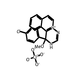 COC1(c2ccc(Cl)cc2)NC=N[n+]2ccc3ccccc3c21.[O-][Cl+3]([O-])([O-])[O-]